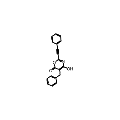 O=c1oc(C#Cc2ccccc2)nc(O)c1Cc1ccccc1